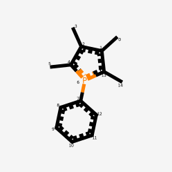 Cc1c(C)c(C)p(-c2ccccc2)c1C